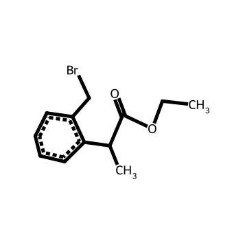 CCOC(=O)C(C)c1ccccc1CBr